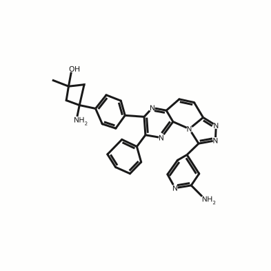 CC1(O)CC(N)(c2ccc(-c3nc4ccc5nnc(-c6ccnc(N)c6)n5c4nc3-c3ccccc3)cc2)C1